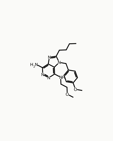 CCCCc1nc2c(N)nnc(NCCOC)c2n1Cc1ccc(OC)cc1